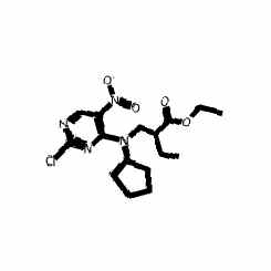 CCOC(=O)C(CC)CN(c1nc(Cl)ncc1[N+](=O)[O-])C1CCCC1